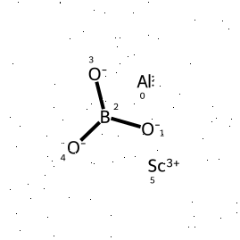 [Al].[O-]B([O-])[O-].[Sc+3]